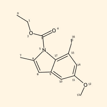 CCOC(=O)n1c(C)cc2cc(OC)cc(F)c21